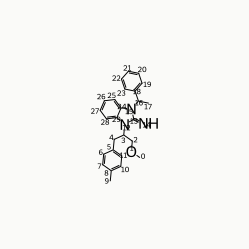 COCC(Cc1ccc(C)cc1)n1c(=N)n(C(C)c2ccccc2)c2ccccc21